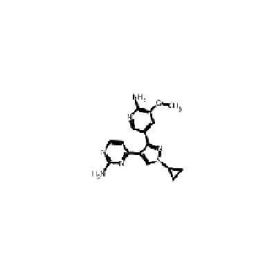 COc1cc(-c2nn(C3CC3)cc2-c2ccnc(N)n2)cnc1N